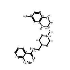 CSc1ncccc1C(=O)NCC1CCN(C[C@H]2COc3ccc(F)cc3O2)CC1